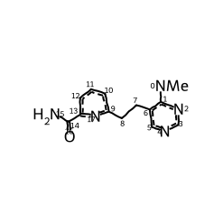 CNc1ncncc1CCc1cccc(C(N)=O)n1